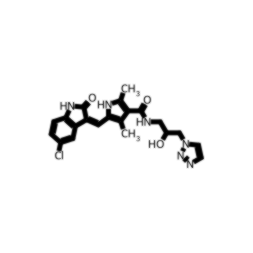 Cc1[nH]c(/C=C2\C(=O)Nc3ccc(Cl)cc32)c(C)c1C(=O)NCC(O)Cn1ccnn1